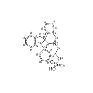 O=S(=O)(O)OCC[N+]1=Cc2ccccc2C(Cc2ccccc2)(Cc2ccccc2)C1